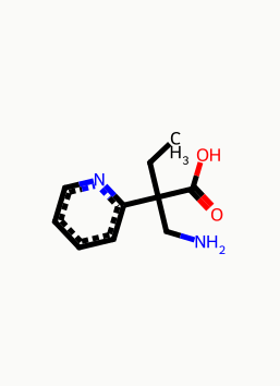 CCC(CN)(C(=O)O)c1ccccn1